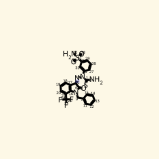 NC(=S)N(/N=C1\C(=O)N(Cc2ccccc2)c2c1cccc2C(F)(F)F)c1cccc(S(N)(=O)=O)c1